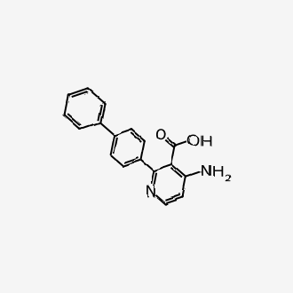 Nc1ccnc(-c2ccc(-c3ccccc3)cc2)c1C(=O)O